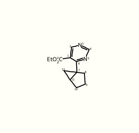 CCOC(=O)c1cn[c]nc1C12CCCC1C2